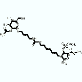 B[C@@H]1O[C@H](COC)C(OP(=O)(O)OC)[C@@H]1C/C=C/CCCCNC(=O)NCCCCO[C@@H]1O[C@H](CO)[C@H](O)[C@H](O)[C@H]1NC(C)=O